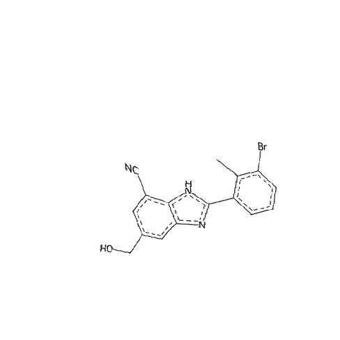 Cc1c(Br)cccc1-c1nc2cc(CO)cc(C#N)c2[nH]1